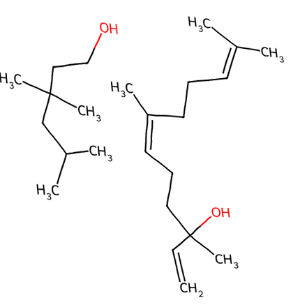 C=CC(C)(O)CCC=C(C)CCC=C(C)C.CC(C)CC(C)(C)CCO